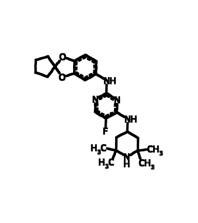 CC1(C)CC(Nc2nc(Nc3ccc4c(c3)OC3(CCCC3)O4)ncc2F)CC(C)(C)N1